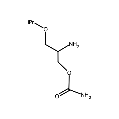 CC(C)OCC(N)COC(N)=O